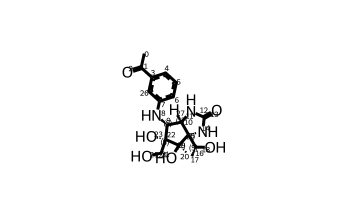 CC(=O)c1cccc(N[C@H]2[C@@H]3NC(=O)N[C@]3([C@H](C)O)[C@@](C)(O)[C@@]2(O)CO)c1